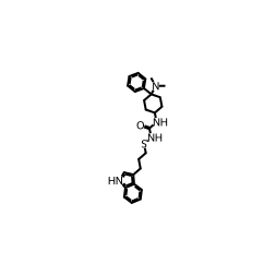 CN(C)C1(c2ccccc2)CCC(NC(=O)NSCCCc2c[nH]c3ccccc23)CC1